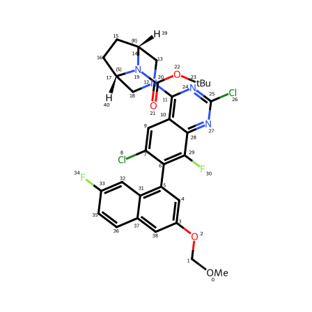 COCOc1cc(-c2c(Cl)cc3c(N4C[C@H]5CC[C@@H](C4)N5C(=O)OC(C)(C)C)nc(Cl)nc3c2F)c2cc(F)ccc2c1